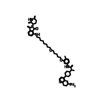 C=C1CCC(N2C(=C)c3cccc(NCCCCCCCCOCCCCCOc4cc(NC(=C)C(C)C5CCC(c6ccnc7c6C=C(P)CC7)CC5)ccc4C)c3C2=O)C(=C)N1